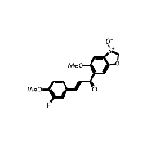 COc1ccc(C=CC(=O)c2cc3c(cc2OC)[S+]([O-])CO3)cc1F